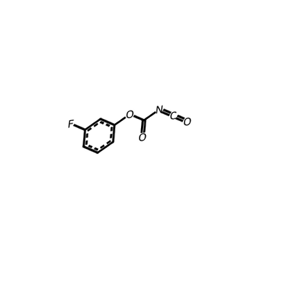 O=C=NC(=O)Oc1cccc(F)c1